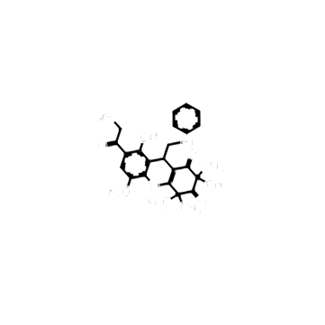 CC(=O)Oc1cc(C(=O)CC(C)C)c(O)c2c1OC1=C(C(=O)C(C)(C)C(=O)C1(C)C)C2CC(C)C.c1ccccc1